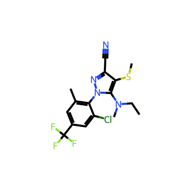 CCN(C)c1c(SC)c(C#N)nn1-c1c(C)cc(C(F)(F)F)cc1Cl